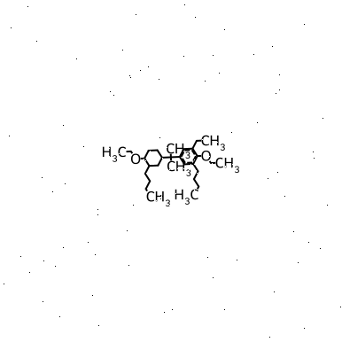 CCCCc1cc(C(C)(C)C2CCC(OCC)C(CCCC)C2)cc(CC)c1OCC